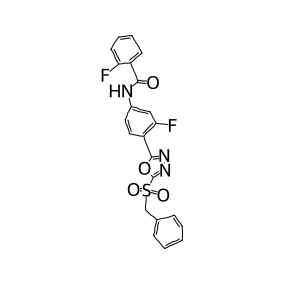 O=C(Nc1ccc(-c2nnc(S(=O)(=O)Cc3ccccc3)o2)c(F)c1)c1ccccc1F